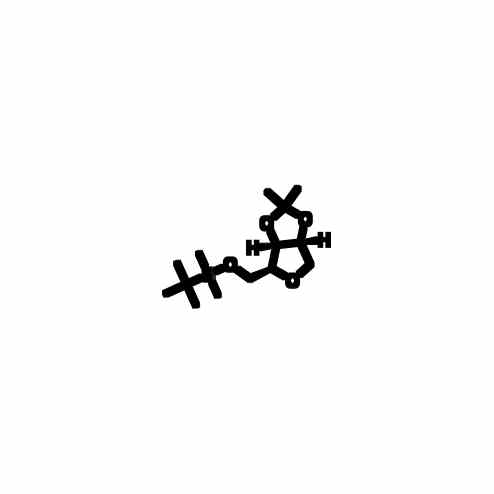 CC1(C)O[C@H]2[C@H](CO[Si](C)(C)C(C)(C)C)OC[C@H]2O1